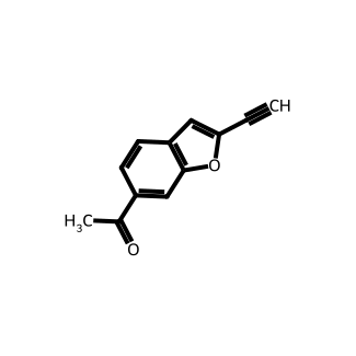 C#Cc1cc2ccc(C(C)=O)cc2o1